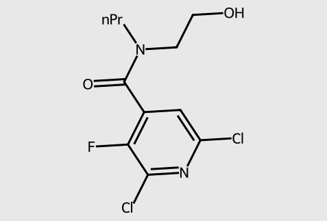 CCCN(CCO)C(=O)c1cc(Cl)nc(Cl)c1F